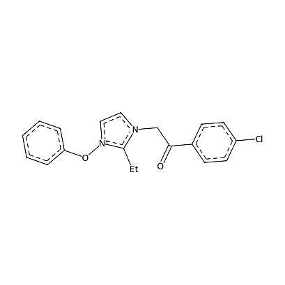 CCc1n(CC(=O)c2ccc(Cl)cc2)cc[n+]1Oc1ccccc1